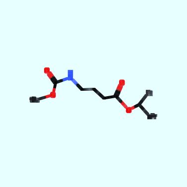 CCCC(CC)OC(=O)CCCNC(=O)OC(C)(C)C